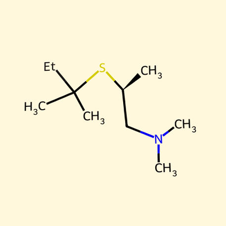 CCC(C)(C)S[C@@H](C)CN(C)C